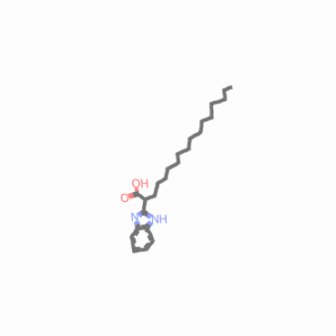 CCCCCCCCCCCCCCCC(C(=O)O)c1nc2ccccc2[nH]1